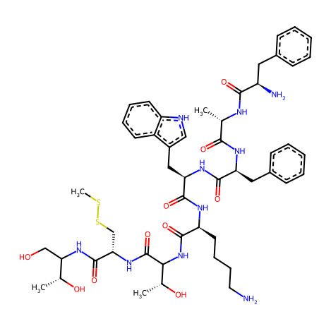 CSSC[C@H](NC(=O)C(NC(=O)[C@H](CCCCN)NC(=O)[C@@H](Cc1c[nH]c2ccccc12)NC(=O)[C@H](Cc1ccccc1)NC(=O)[C@H](C)NC(=O)[C@H](N)Cc1ccccc1)[C@@H](C)O)C(=O)NC(CO)[C@@H](C)O